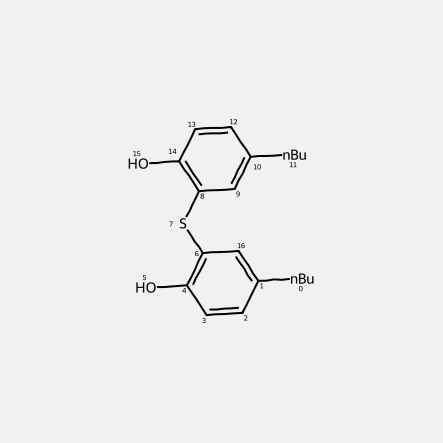 CCCCc1ccc(O)c(Sc2cc(CCCC)ccc2O)c1